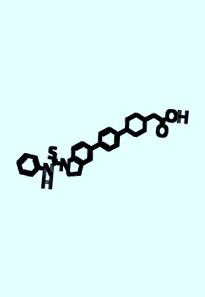 O=C(O)CC1CCC(c2ccc(-c3ccc4c(c3)CCN4C(=S)Nc3ccccc3)cc2)CC1